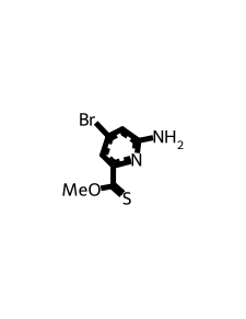 COC(=S)c1cc(Br)cc(N)n1